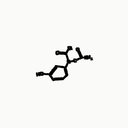 CCC(=O)N(CC(N)=O)c1cccc(O)c1